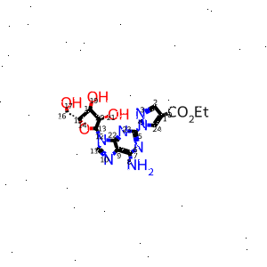 CCOC(=O)c1cnn(-c2nc(N)c3ncn(C4O[C@H](CO)C(O)[C@H]4O)c3n2)c1